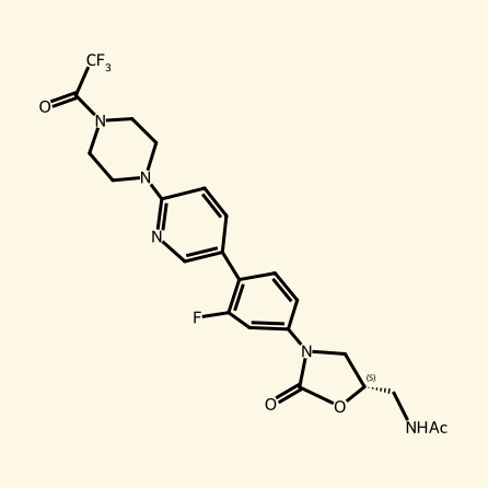 CC(=O)NC[C@H]1CN(c2ccc(-c3ccc(N4CCN(C(=O)C(F)(F)F)CC4)nc3)c(F)c2)C(=O)O1